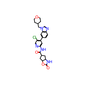 O=C1NC2CC(C(=O)Nc3cc(-c4ccc5ncn(CC6CCOCC6)c5c4)c(Cl)cn3)CC2O1